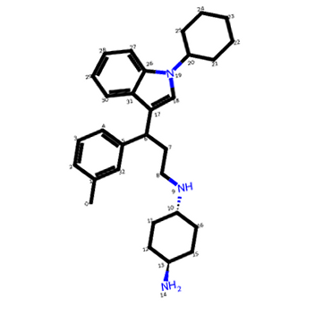 Cc1cccc(C(CCN[C@H]2CC[C@H](N)CC2)c2cn(C3CCCCC3)c3ccccc23)c1